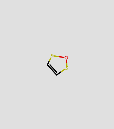 [C]1=CSOS1